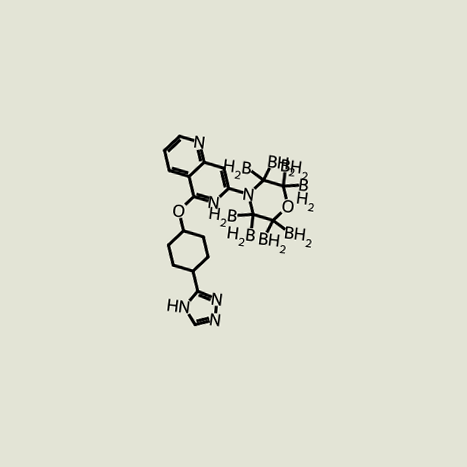 BC1(B)OC(B)(B)C(B)(B)N(c2cc3ncccc3c(OC3CCC(c4nnc[nH]4)CC3)n2)C1(B)B